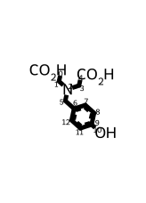 O=C(O)CN(CC(=O)O)Cc1ccc(O)cc1